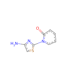 Nc1csc(-n2ccccc2=O)n1